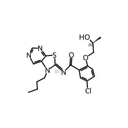 CCCCn1/c(=N/C(=O)c2cc(Cl)ccc2OC[C@H](C)O)sc2ncncc21